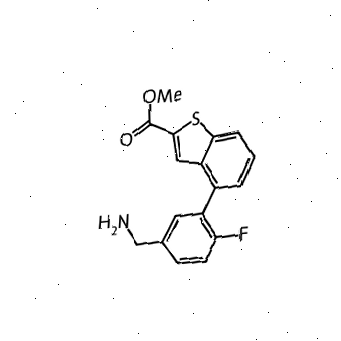 COC(=O)c1cc2c(-c3cc(CN)ccc3F)cccc2s1